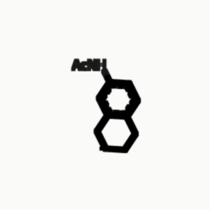 CC(=O)Nc1ccc2c(c1)C[CH]CC2